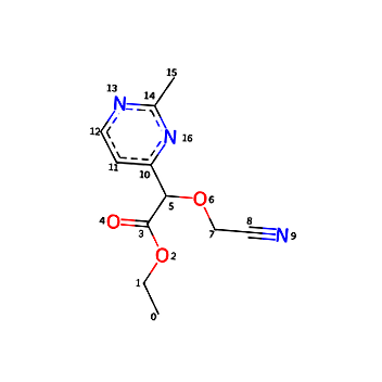 CCOC(=O)C(OCC#N)c1ccnc(C)n1